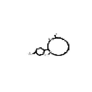 CCCCC1CCC(C2CCNC(CC)CCCCCCCCCN2CC)CC1